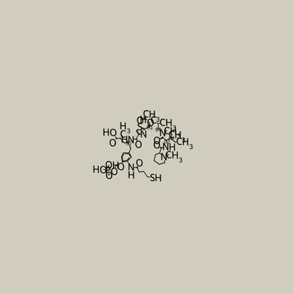 CC[C@H](C)[C@H](NC(=O)C1CCCCN1C)C(=O)N(C)[C@H](C[C@@H](OC(C)=O)c1nc(C(=O)N[C@@H](Cc2ccc(OCOP(=O)(O)O)c(NC(=O)CCCS)c2)CC(C)C(=O)O)cs1)C(C)C